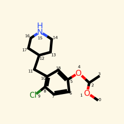 COC(C)Oc1ccc(Cl)c(CC2CCNCC2)c1